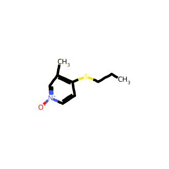 CCCSc1cc[n+]([O-])cc1C